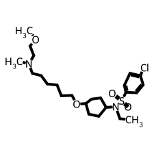 CCN(C1CCC(OCCCCCCN(C)CCOC)CC1)S(=O)(=O)c1ccc(Cl)cc1